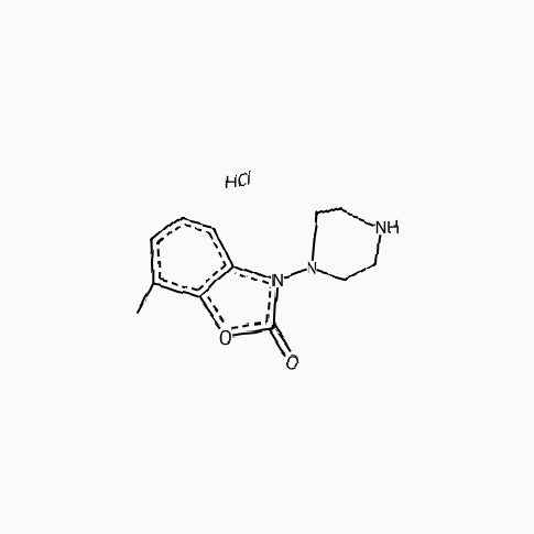 Cc1cccc2c1oc(=O)n2N1CCNCC1.Cl